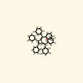 c1ccc(C2=C(c3ccccc3)C(=C(c3ccccc3)c3ccccc3)C2=C(c2ccccc2)c2ccccc2)cc1